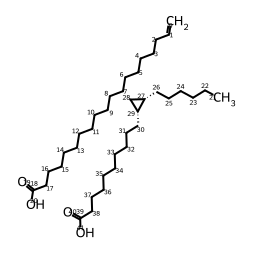 C=CCCCCCCCCCCCCCCCCC(=O)O.CCCCCC[C@H]1C[C@H]1CCCCCCCCCC(=O)O